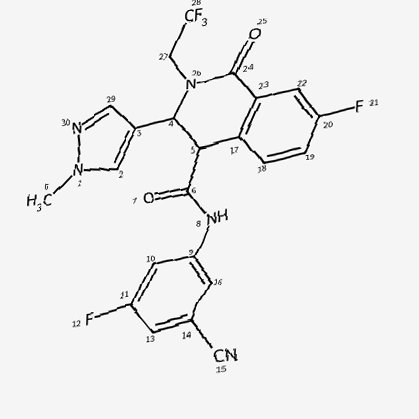 Cn1cc(C2C(C(=O)Nc3cc(F)cc(C#N)c3)c3ccc(F)cc3C(=O)N2CC(F)(F)F)cn1